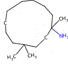 CC1(C)CCCCCCCCC(C)(N)CC1